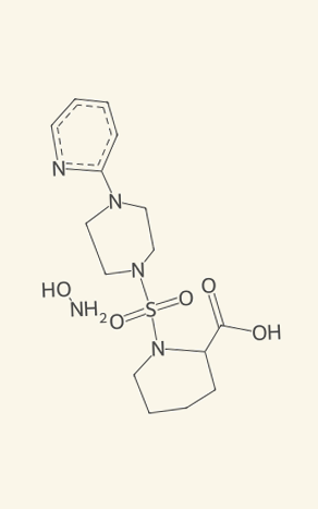 NO.O=C(O)C1CCCCN1S(=O)(=O)N1CCN(c2ccccn2)CC1